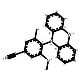 COc1cc(C#N)cc(C)c1N1c2ccccc2Oc2ccccc21